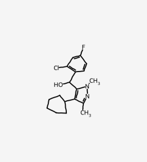 Cc1nn(C)c(C(O)c2ccc(F)cc2Cl)c1C1CCCCC1